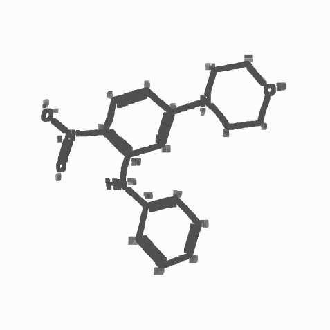 O=[N+]([O-])c1ccc(N2CCOCC2)cc1Nc1ccccc1